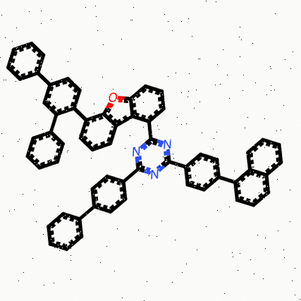 c1ccc(-c2ccc(-c3nc(-c4ccc(-c5cccc6ccccc56)cc4)nc(-c4cccc5oc6c(-c7ccc(-c8ccccc8)cc7-c7ccccc7)cccc6c45)n3)cc2)cc1